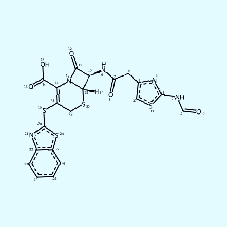 O=CNc1nc(CC(=O)N[C@@H]2C(=O)N3C(C(=O)O)=C(Sc4nc5ccccc5s4)CS[C@@H]23)cs1